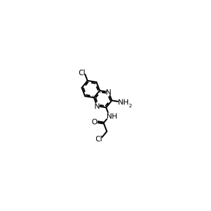 Nc1nc2cc(Cl)ccc2nc1NC(=O)CCl